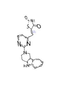 O=C1NC(=O)/C(=C/c2ccnc(N3CCc4[nH]c5ccccc5c4C3)n2)S1